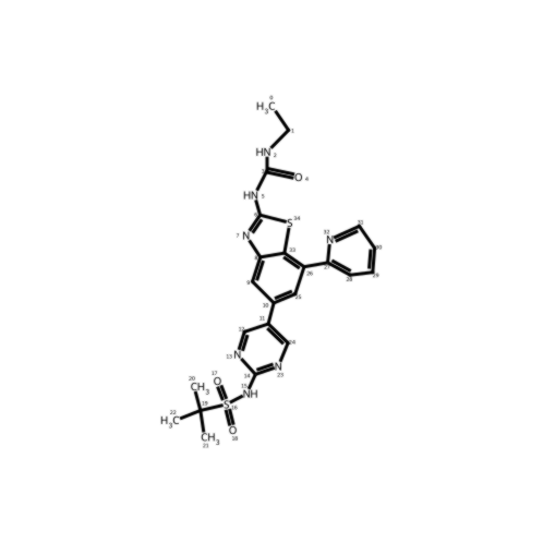 CCNC(=O)Nc1nc2cc(-c3cnc(NS(=O)(=O)C(C)(C)C)nc3)cc(-c3ccccn3)c2s1